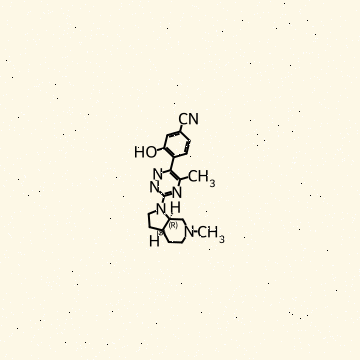 Cc1nc(N2CC[C@@H]3CCN(C)C[C@@H]32)nnc1-c1ccc(C#N)cc1O